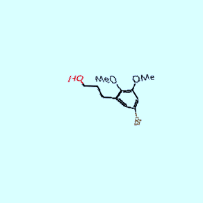 COc1cc(Br)cc(CCCO)c1OC